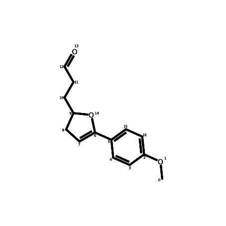 COc1ccc(C2=CCC(CCC=O)O2)cc1